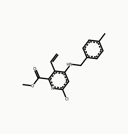 C=Cc1c(NCc2ccc(C)cc2)cc(Cl)nc1C(=O)OC